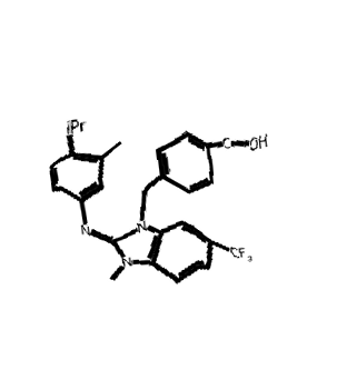 Cc1cc(/N=c2/n(C)c3ccc(C(F)(F)F)cc3n2Cc2ccc(CO)cc2)ccc1C(C)C